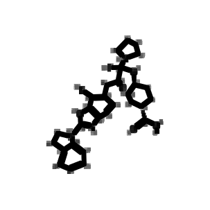 COC(=O)[C@H]1CC[C@H](OC(F)(C(=O)Cc2ccc3nc(N4CCc5ccccc54)oc3c2F)N2CCCC2)CC1